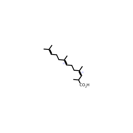 CC(C)=CCC/C(C)=C/CC/C(C)=C\C(C)C(=O)O